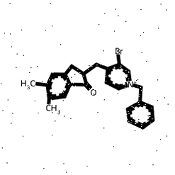 Cc1cc2c(cc1C)C(=O)C(Cc1cc[n+](Cc3ccccc3)cc1Br)C2